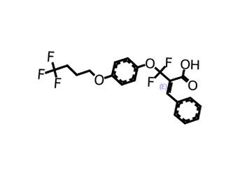 O=C(O)/C(=C\c1ccccc1)C(F)(F)Oc1ccc(OCCCC(F)(F)F)cc1